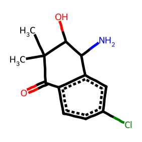 CC1(C)C(=O)c2ccc(Cl)cc2C(N)C1O